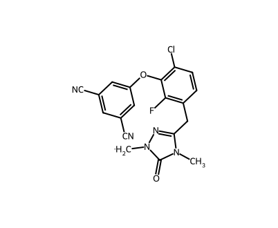 [CH2]n1nc(Cc2ccc(Cl)c(Oc3cc(C#N)cc(C#N)c3)c2F)n(C)c1=O